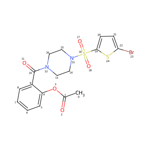 CC(=O)Oc1ccccc1C(=O)N1CCN(S(=O)(=O)c2ccc(Br)s2)CC1